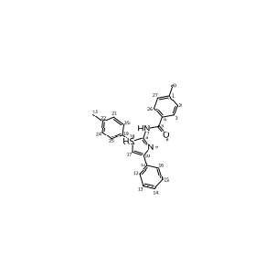 Cc1ccc(C(=O)NC2=NC(c3ccccc3)=C[SH]2c2ccc(C)cc2)cc1